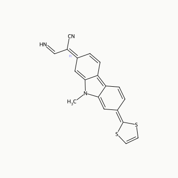 Cn1c2cc(=C3SC=CS3)ccc2c2cc/c(=C(\C#N)C=N)cc21